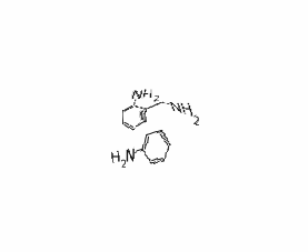 NCc1ccccc1N.Nc1ccccc1